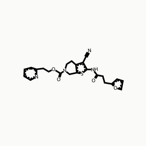 N#Cc1c(NC(=O)CCc2ccco2)sc2c1CCN(C(=O)OCCc1ccccn1)C2